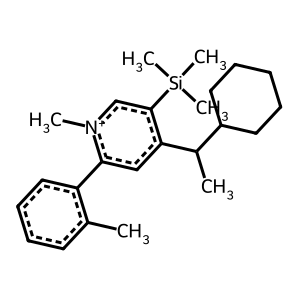 Cc1ccccc1-c1cc(C(C)C2CCCCC2)c([Si](C)(C)C)c[n+]1C